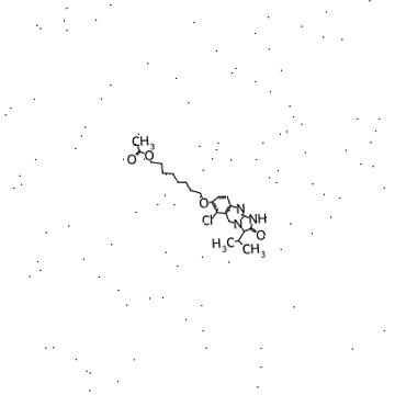 CC(=O)OCCCCCCCCOc1ccc2c(c1Cl)CN1C(=N2)NC(=O)C1C(C)C